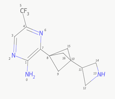 Nc1ncc(C(F)(F)F)nc1C12CC(C3CNC3)(C1)C2